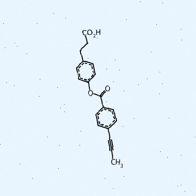 CC#Cc1ccc(C(=O)Oc2ccc(CCC(=O)O)cc2)cc1